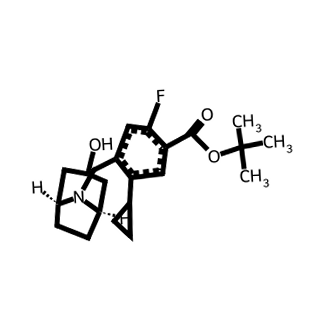 CC(C)(C)OC(=O)c1cc(C2CC2)c(CN2[C@@H]3CC[C@H]2CC(O)C3)cc1F